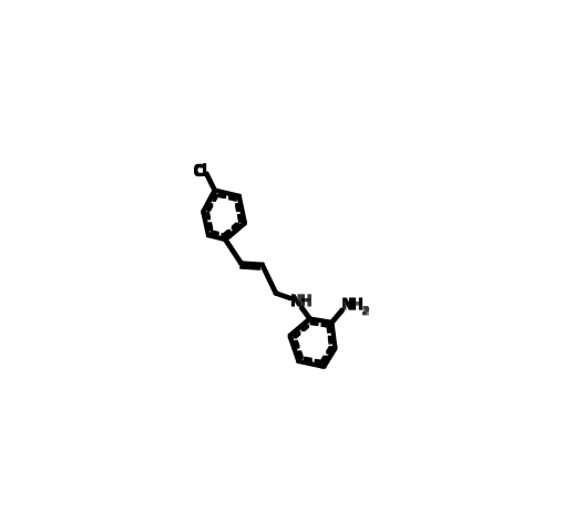 Nc1ccccc1NC/C=C/c1ccc(Cl)cc1